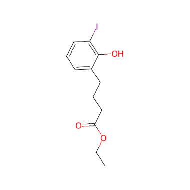 CCOC(=O)CCCc1cccc(I)c1O